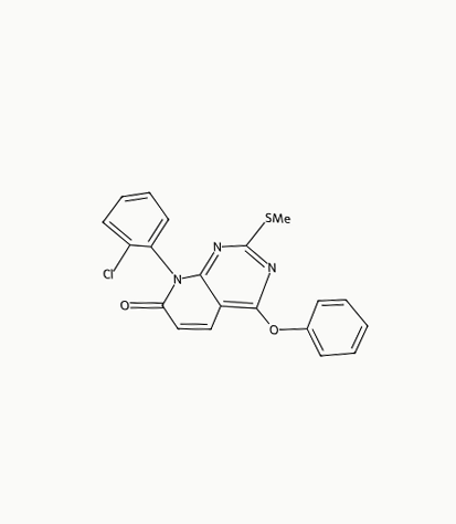 CSc1nc(Oc2ccccc2)c2ccc(=O)n(-c3ccccc3Cl)c2n1